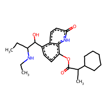 CCNC(CC)C(O)c1ccc(OC(=O)C(C)C2CCCCC2)c2[nH]c(=O)ccc12